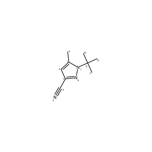 Cc1cc(C#N)nn1C(C)(C)C